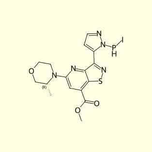 COC(=O)c1cc(N2CCOC[C@H]2C)nc2c(-c3ccnn3PI)nsc12